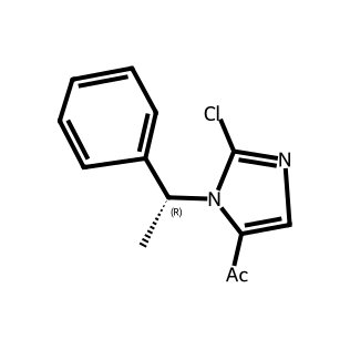 CC(=O)c1cnc(Cl)n1[C@H](C)c1ccccc1